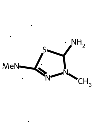 CNC1=NN(C)C(N)S1